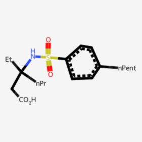 CCCCCc1ccc(S(=O)(=O)NC(CC)(CCC)CC(=O)O)cc1